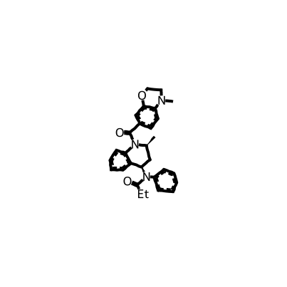 CCC(=O)N(c1ccccc1)[C@@H]1C[C@H](C)N(C(=O)c2ccc3c(c2)OCCN3C)c2ccccc21